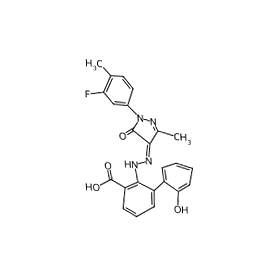 CC1=NN(c2ccc(C)c(F)c2)C(=O)C1=NNc1c(C(=O)O)cccc1-c1ccccc1O